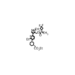 CCOC(=O)C[C@H]1CCCN(c2ccc(-c3cnn(C)c3COC(=O)N(C)C3CC(F)(F)C3)nc2CC)C1